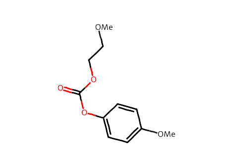 COCCOC(=O)Oc1ccc(OC)cc1